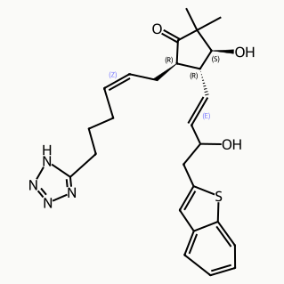 CC1(C)C(=O)[C@H](C/C=C\CCCc2nnn[nH]2)[C@@H](/C=C/C(O)Cc2cc3ccccc3s2)[C@@H]1O